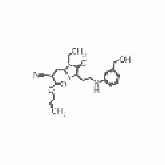 C=CCOC(=O)C(C#N)CC1SC(CCNc2cccc(CO)c2)C(=O)N1CC